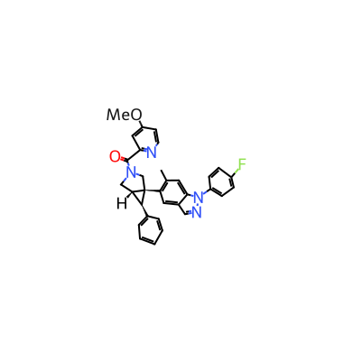 COc1ccnc(C(=O)N2C[C@H]3[C@H](c4ccccc4)[C@@]3(c3cc4cnn(-c5ccc(F)cc5)c4cc3C)C2)c1